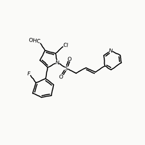 O=Cc1cc(-c2ccccc2F)n(S(=O)(=O)CC=Cc2cccnc2)c1Cl